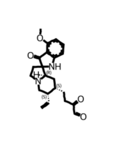 C=C[C@@H]1CN2CCC3(Nc4cccc(OC)c4C3=O)[C@H]2C[C@@H]1CCC(=O)C=O